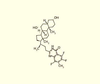 Cc1c(F)c(F)c2c(=O)[nH]c(CC[C@@H](C)[C@H]3CC[C@H]4[C@H]5C(CC[C@]34C)[C@@]3(C)CC[C@@H](O)C[C@H]3C[C@H]5O)nc2c1F